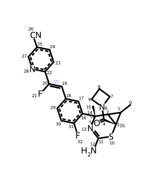 CC1C2[C@@]1(C(=O)N1CCC1)SC(N)=N[C@]2(C)c1cc(/C=C(\F)c2ccc(C#N)cn2)ccc1F